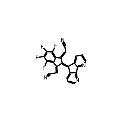 N#C/C=C1/C(=C2c3cccnc3-c3ncccc32)/C(=C/C#N)c2c(F)c(F)c(F)c(F)c21